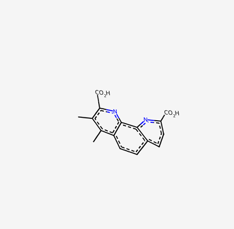 Cc1c(C(=O)O)nc2c(ccc3ccc(C(=O)O)nc32)c1C